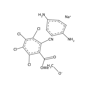 COC(=O)c1c(Cl)c(Cl)c(Cl)c(Cl)c1C#N.C[O-].Nc1ccc(N)cc1.[Na+]